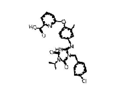 Cc1cc(/N=c2\[nH]c(=O)n(C(C)C)c(=O)n2Cc2ccc(Cl)cc2)ccc1Oc1cccc(C(=O)O)n1